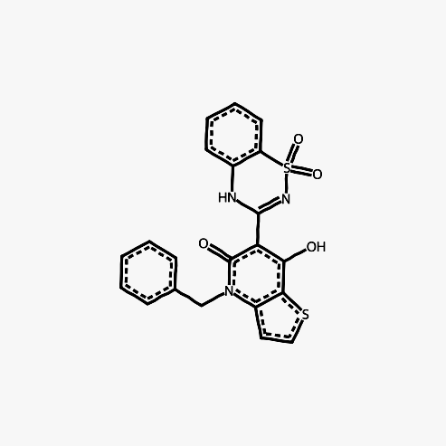 O=c1c(C2=NS(=O)(=O)c3ccccc3N2)c(O)c2sccc2n1Cc1ccccc1